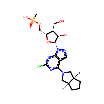 [CH2]P(=O)(O)OC[C@H]1O[C@@H](n2ncc3c(N4C[C@H]5CCC[C@H]5C4)nc(Cl)nc32)[C@H](O)[C@H]1CO